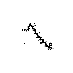 CC(CCS)C(=O)NCCCCCCCCCCC(=O)O